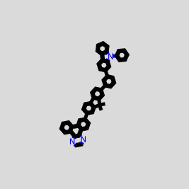 CC1(C)c2cc(-c3cccc(-c4ccc5c6ccccc6n(-c6ccccc6)c5c4)c3)ccc2-c2ccc(-c3ccc4c(c3)c3ccccc3c3nccnc43)cc21